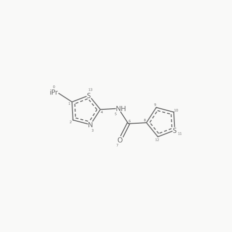 CC(C)c1cnc(NC(=O)c2ccsc2)s1